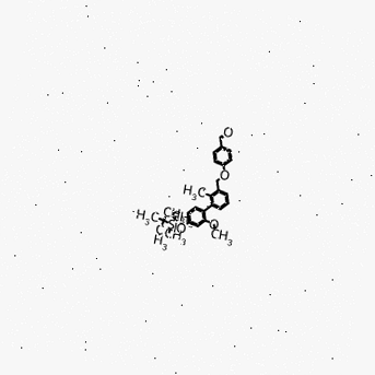 COc1cc(O[Si](C)(C)C(C)(C)C)ccc1-c1cccc(COc2ccc(C=O)cc2)c1C